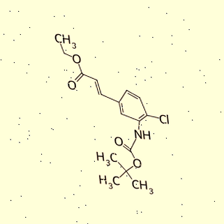 CCOC(=O)C=Cc1ccc(Cl)c(NC(=O)OC(C)(C)C)c1